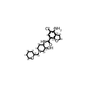 Nc1c(Cl)cc(C(=O)NC2CCN(CC3CCCCO3)CC2O)c2c1CCO2